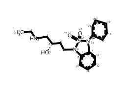 CCNC[C@@H](O)CCN1c2ccccc2N(c2ccccc2)S1(=O)=O